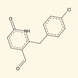 O=Cc1ccc(=O)[nH]c1Cc1ccc(Cl)cc1